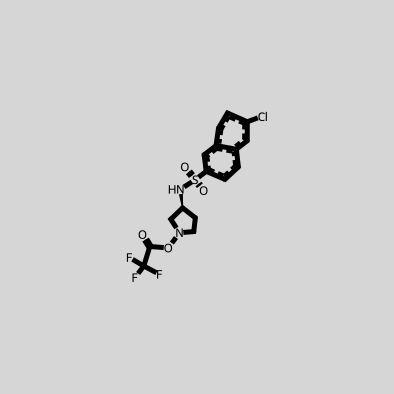 O=C(ON1CC[C@H](NS(=O)(=O)c2ccc3cc(Cl)ccc3c2)C1)C(F)(F)F